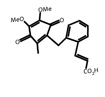 COC1=C(OC)C(=O)C(Cc2ccccc2/C=C/C(=O)O)=C(C)C1=O